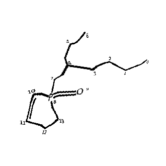 CCCCC(CC)CP1(=O)C=CCC1